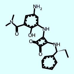 CC[C@@H](Nc1c(Nc2cc(N)cc(C(=O)N(C)C)c2O)c(=O)c1=O)c1ccccc1